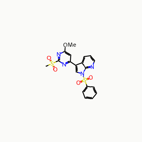 COc1cc(-c2cn(S(=O)(=O)c3ccccc3)c3ncccc23)nc(S(C)(=O)=O)n1